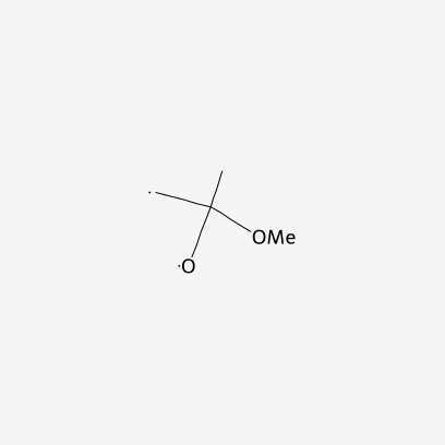 [CH2]C(C)([O])OC